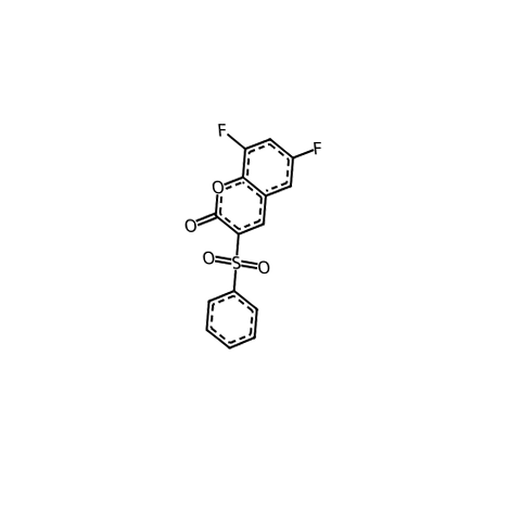 O=c1oc2c(F)cc(F)cc2cc1S(=O)(=O)c1ccccc1